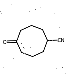 N#CC1CCCC(=O)CCC1